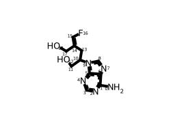 Nc1ncnc2c1ncn2C(CO)C/C(=C\F)CO